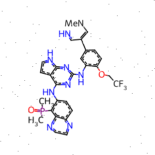 CN/C=C(\C=N)c1ccc(OCC(F)(F)F)c(Nc2nc(Nc3ccc4nccnc4c3P(C)(C)=O)c3cc[nH]c3n2)c1